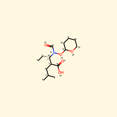 CC[C@@H](C(CC(C)C)C(=O)O)N(C=O)OC1CCCCO1